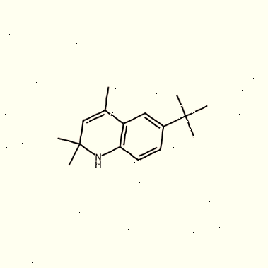 CC1=CC(C)(C)Nc2ccc(C(C)(C)C)cc21